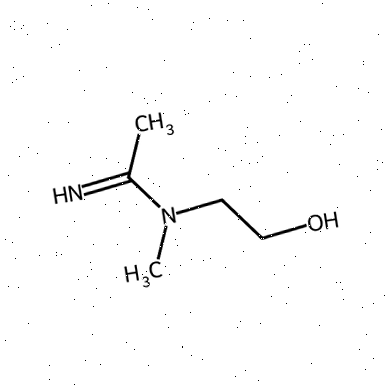 CC(=N)N(C)CCO